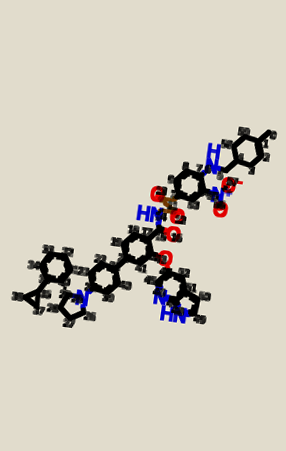 CC1=CCC(CNc2ccc(S(=O)(=O)NC(=O)c3ccc(-c4ccc(N5CCC[C@@H]5c5ccccc5C5CC5)cc4)cc3Oc3cnc4[nH]ccc4c3)cc2[N+](=O)[O-])CC1